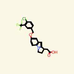 O=C(O)CC1CCn2c1cc1cc(OCc3ccc(Cl)c(C(F)(F)F)c3)ccc12